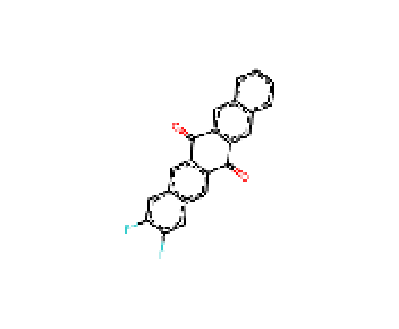 O=C1c2cc3ccccc3cc2C(=O)c2cc3cc(F)c(F)cc3cc21